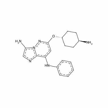 Nc1cnc2c(Nc3ccccc3)cc(O[C@H]3CC[C@H](N)CC3)nn12